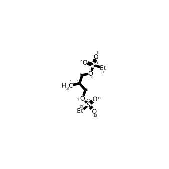 CCS(=O)(=O)OCC(C)COS(=O)(=O)CC